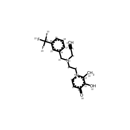 C#CCN(CCn1ccc(=O)c(O)c1C)Cc1cccc(C(F)(F)F)c1